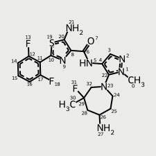 Cn1ncc(NC(=O)c2nc(-c3c(F)cccc3F)sc2N)c1N1CCC(N)CC(C)(F)C1